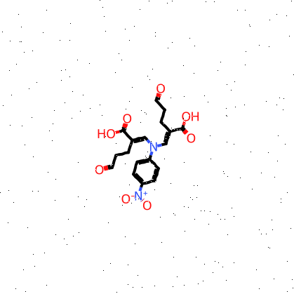 O=CCCC(=CN(C=C(CCC=O)C(=O)O)c1ccc([N+](=O)[O-])cc1)C(=O)O